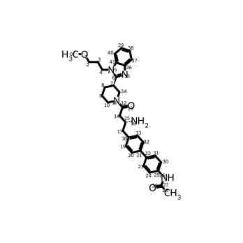 COCCCn1c([C@@H]2CCCN(C(=O)C[C@H](N)Cc3ccc(-c4ccc(NC(C)=O)cc4)cc3)C2)nc2ccccc21